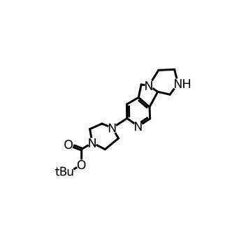 CC(C)(C)OC(=O)N1CCN(c2cc3c(cn2)C2CNCCN2C3)CC1